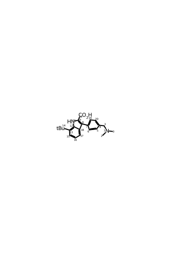 CN(C)Cc1ccc(-c2c(C(=O)O)[nH]c3c(C(C)(C)C)cccc23)cc1